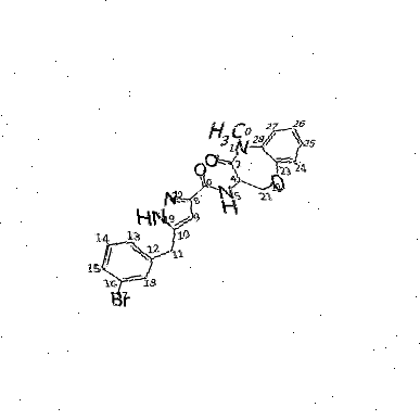 CN1C(=O)C(NC(=O)c2cc(Cc3cccc(Br)c3)[nH]n2)COc2ccccc21